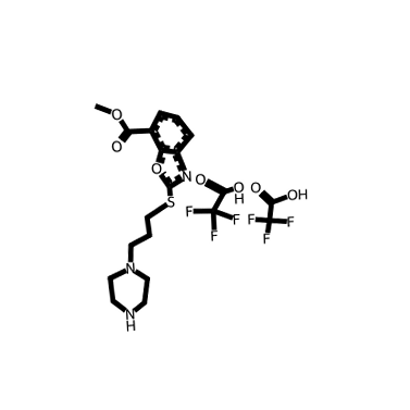 COC(=O)c1cccc2nc(SCCCN3CCNCC3)oc12.O=C(O)C(F)(F)F.O=C(O)C(F)(F)F